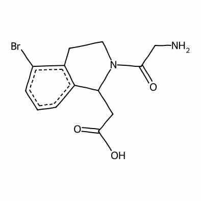 NCC(=O)N1CCc2c(Br)cccc2C1CC(=O)O